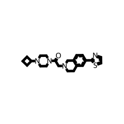 O=C(CN1CCc2cc(-c3nccs3)ccc2C1)N1CCN(C2CCC2)CC1